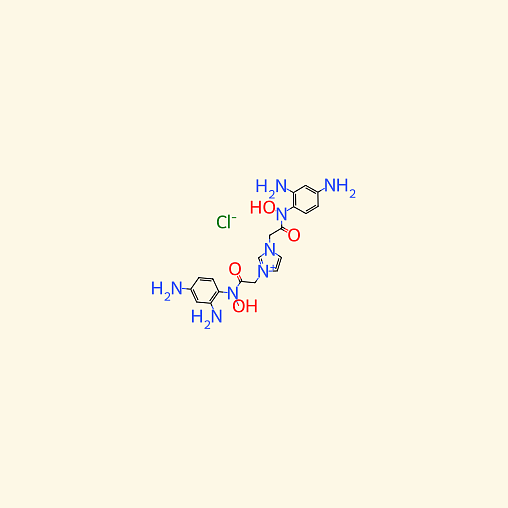 Nc1ccc(N(O)C(=O)Cn2cc[n+](CC(=O)N(O)c3ccc(N)cc3N)c2)c(N)c1.[Cl-]